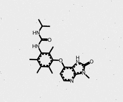 Cc1c(C)c(NC(=O)NC(C)C)c(C)c(Oc2ccnc3c2[nH]c(=O)n3C)c1C